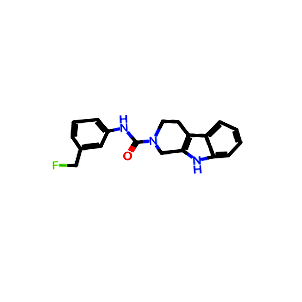 O=C(Nc1cccc(CF)c1)N1CCc2c([nH]c3ccccc23)C1